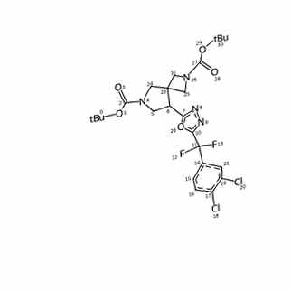 CC(C)(C)OC(=O)N1CC(c2nnc(C(F)(F)c3ccc(Cl)c(Cl)c3)o2)C2(C1)CN(C(=O)OC(C)(C)C)C2